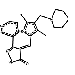 Cc1[nH]c(/C=C2/C(=O)NN=C2c2cccnn2)c(C)c1CN1CCOCC1